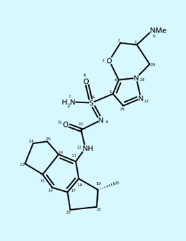 CNC1COc2c(S(N)(=O)=NC(=O)Nc3c4c(cc5c3[C@H](C)CC5)CCC4)cnn2C1